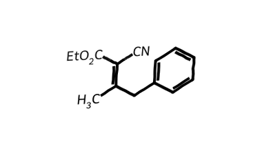 CCOC(=O)C(C#N)=C(C)Cc1ccccc1